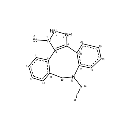 CCN1NNC2=C1c1ccccc1CN(SI)c1ccccc12